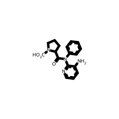 Nc1cccnc1N(C(=O)C1CCCN1C(=O)O)c1ccccc1